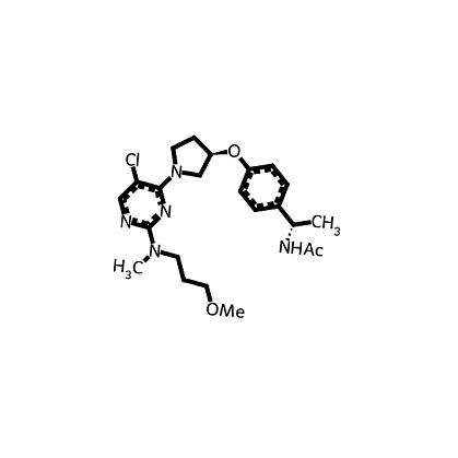 COCCCN(C)c1ncc(Cl)c(N2CC[C@@H](Oc3ccc([C@H](C)NC(C)=O)cc3)C2)n1